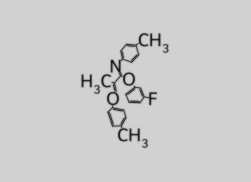 CC(=C\Oc1ccc(C)cc1)/C(=N/c1ccc(C)cc1)Oc1cccc(F)c1